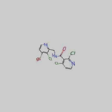 O=C(NCc1nccc(Br)c1Cl)c1c(Cl)ccnc1Cl